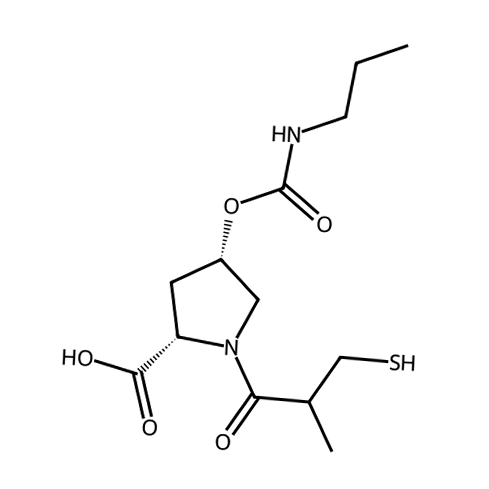 CCCNC(=O)O[C@H]1C[C@@H](C(=O)O)N(C(=O)C(C)CS)C1